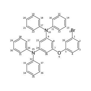 Brc1cccc(Oc2cc(N(c3ccccc3)c3ccccc3)cc(N(c3ccccc3)c3ccccc3)c2)c1